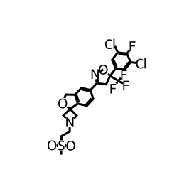 CS(=O)(=O)CCN1CC2(C1)OCc1cc(C3=NOC(c4cc(Cl)c(F)c(Cl)c4)(C(F)(F)F)C3)ccc12